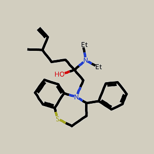 C=CC(C)CCC(O)(CN1c2ccccc2SCCC1c1ccccc1)N(CC)CC